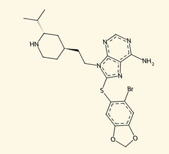 CC(C)[C@@H]1C[C@@H](CCn2c(Sc3cc4c(cc3Br)OCO4)nc3c(N)ncnc32)CCN1